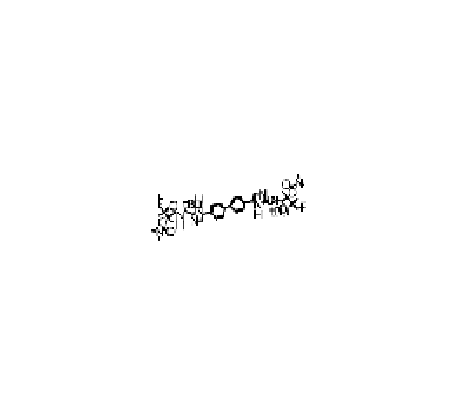 CN(C)C(=O)OC(C)(C(=O)N[C@H](c1ncc(-c2ccc(-c3ccc(-c4cnc([C@@H](NC(=O)C(C)(OC(=O)N(C)C)C(C)(C)CF)C(C)(C)C)[nH]4)cc3)cc2)[nH]1)C(C)(C)C)C(C)(C)CF